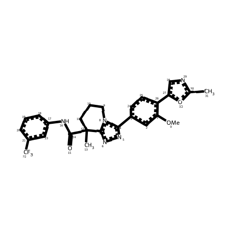 COc1cc(-c2nnc3n2CCCC3(C)C(=O)Nc2cccc(C(F)(F)F)c2)ccc1-c1cnc(C)o1